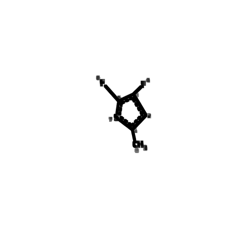 Cc1cc(F)c(F)s1